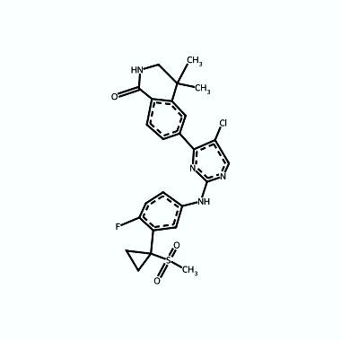 CC1(C)CNC(=O)c2ccc(-c3nc(Nc4ccc(F)c(C5(S(C)(=O)=O)CC5)c4)ncc3Cl)cc21